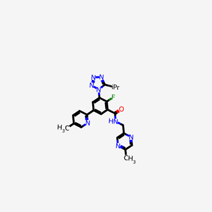 Cc1ccc(-c2cc(C(=O)NCc3cnc(C)cn3)c(F)c(-n3nnnc3C(C)C)c2)nc1